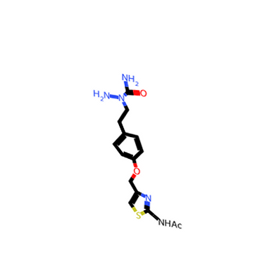 CC(=O)Nc1nc(COc2ccc(CCN(N)C(N)=O)cc2)cs1